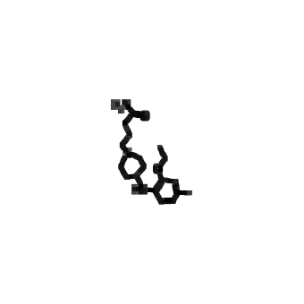 CCOc1cc(C)ccc1NC1CCN(CCCC(N)=O)CC1